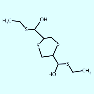 CCSC(O)C1CSC(C(O)SCC)CS1